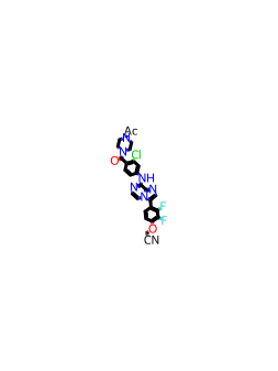 CC(=O)N1CCN(C(=O)c2ccc(Nc3nccn4c(-c5ccc(OCC#N)c(F)c5F)cnc34)cc2Cl)CC1